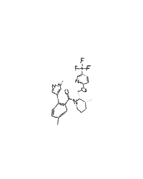 Cc1ccc(-c2cnn(C)c2)c(C(=O)N2CCC[C@@H](C)[C@H]2COc2ccc(C(F)(F)F)cn2)c1